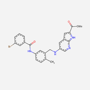 COC(=O)c1cc2cc(NCc3cc(NC(=O)c4cccc(Br)c4)ccc3C)cnc2[nH]1